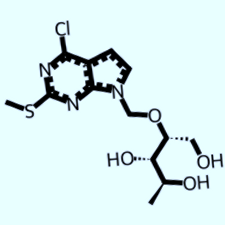 CSc1nc(Cl)c2ccn(CO[C@H](CO)[C@@H](O)[C@H](C)O)c2n1